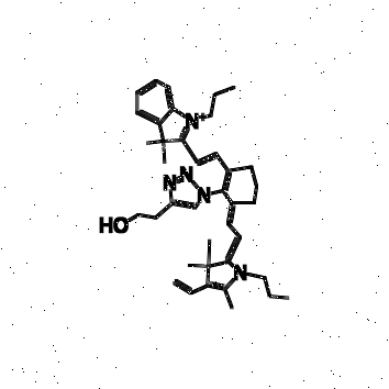 C=CC1=C(C)N(CCC)/C(=C/C=C2\CCCC(/C=C/C3=[N+](CCC)c4ccccc4C3(C)C)=C2n2cc(CCO)nn2)C1(C)C